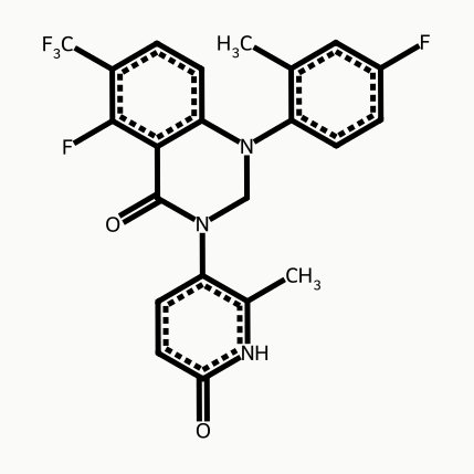 Cc1cc(F)ccc1N1CN(c2ccc(=O)[nH]c2C)C(=O)c2c1ccc(C(F)(F)F)c2F